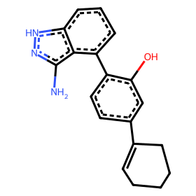 Nc1n[nH]c2cccc(-c3ccc(C4=CCCCC4)cc3O)c12